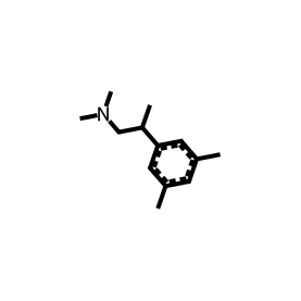 Cc1cc(C)cc(C(C)CN(C)C)c1